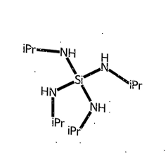 CC(C)N[Si](NC(C)C)(NC(C)C)NC(C)C